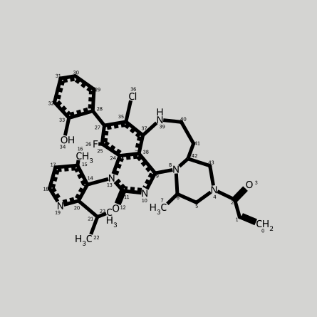 C=CC(=O)N1CC(C)N2c3nc(=O)n(-c4c(C)ccnc4C(C)C)c4c(F)c(-c5ccccc5O)c(Cl)c(c34)NCCC2C1